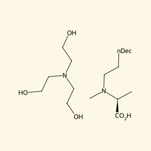 CCCCCCCCCCCCN(C)[C@@H](C)C(=O)O.OCCN(CCO)CCO